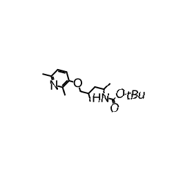 Cc1ccc(OCC(C)CC(C)NC(=O)OC(C)(C)C)c(C)n1